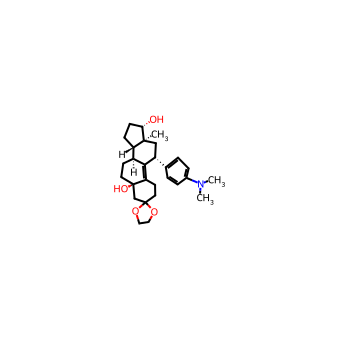 CN(C)c1ccc([C@H]2C[C@]3(C)[C@@H](O)CC[C@H]3[C@@H]3CC[C@@]4(O)CC5(CCC4=C32)OCCO5)cc1